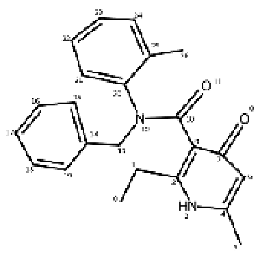 CCc1[nH]c(C)cc(=O)c1C(=O)N(Cc1ccccc1)c1ccccc1C